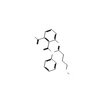 NC(=O)c1cccc2nc(CCCNC(=O)O)n(-c3ccccc3)c(=O)c12